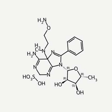 C[C@H]1O[C@@H](N2C(c3ccccc3)=NC3(N(C)CCON)C(N)=NCN=C23)[C@H](O)[C@@H]1O.O=S(=O)(O)O